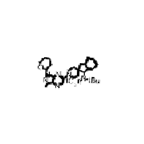 CC(C)(C)N(C(=O)O)[C@@H]1c2ccccc2CC12CCN(c1cnc3c(I)nn(C4CCCCO4)c3n1)CC2